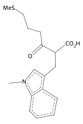 CSCCCC(=O)C(Cc1cn(C)c2ccccc12)C(=O)O